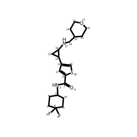 O=C(NC1CCC(F)(F)CC1)c1cc(C2CC2NCC2CCOCC2)cs1